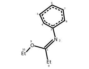 [CH2]CC(=Nc1ccccc1)OCC